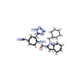 N#Cc1ccc(NC(=O)c2cc3ccccc3n2CC2CCCCC2)c(-c2nnn[nH]2)c1